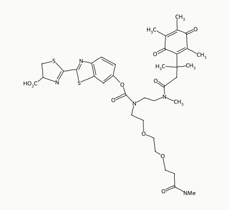 CNC(=O)CCOCCOCCN(CCN(C)C(=O)CC(C)(C)C1=C(C)C(=O)C(C)=C(C)C1=O)C(=O)Oc1ccc2nc(C3=NC(C(=O)O)CS3)sc2c1